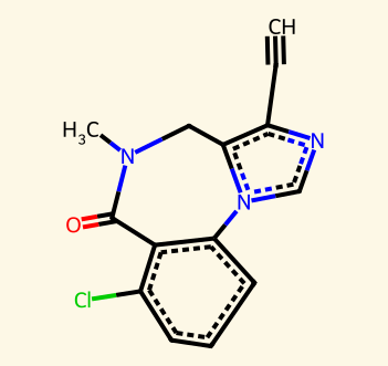 C#Cc1ncn2c1CN(C)C(=O)c1c(Cl)cccc1-2